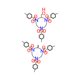 C=C1CN(S(=O)(=O)c2ccc(C)cc2)CCCN(S(=O)(=O)c2ccc(C)cc2)CCCN(S(=O)(=O)c2ccc(C)cc2)C1.Cc1ccc(S(=O)(=O)N2CCCN(S(=O)(=O)c3ccc(C)cc3)CC(CO)CN(S(=O)(=O)c3ccc(C)cc3)CCC2)cc1